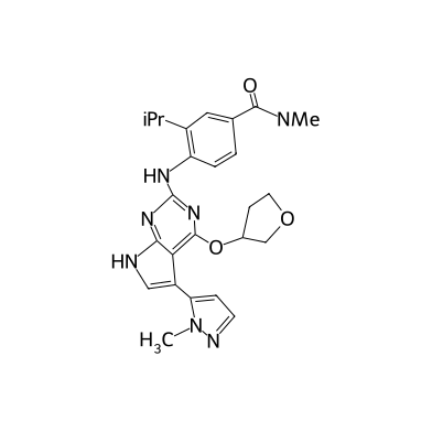 CNC(=O)c1ccc(Nc2nc(OC3CCOC3)c3c(-c4ccnn4C)c[nH]c3n2)c(C(C)C)c1